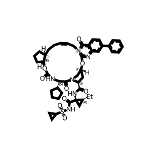 CC[C@@H]1C[C@]1(NC(=O)[C@@H]1C[C@@H]2CN1C(=O)[C@H](C1CCCC1)NC(=O)O[C@@H]1CCC[C@H]1CCC=CCn1c(nc3cc(-c4ccccc4)ccc3c1=O)O2)C(=O)NS(=O)(=O)C1CC1